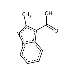 Cc1nn2ccccc2c1C(=O)O